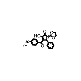 COc1ccc(C(=O)C2=C(O)C(=O)N(C3OCCO3)C2c2ccccc2)cc1